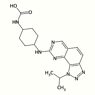 CC(C)n1nnc2ccc3cnc(NC4CCC(NC(=O)O)CC4)nc3c21